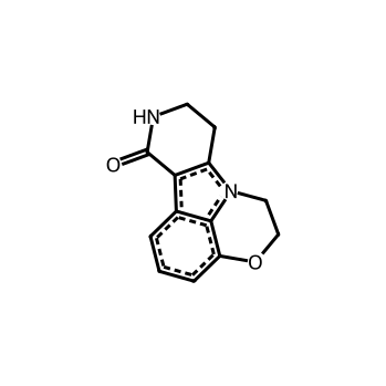 O=C1NCCc2c1c1cccc3c1n2CCO3